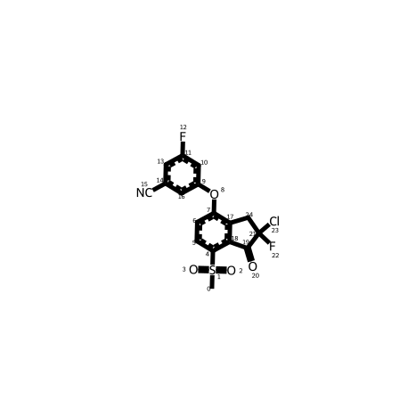 CS(=O)(=O)c1ccc(Oc2cc(F)cc(C#N)c2)c2c1C(=O)C(F)(Cl)C2